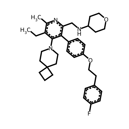 CCc1c(C)nc(CNC2CCOCC2)c(-c2ccc(OCCc3ccc(F)cc3)cc2)c1N1CCC2(CCC2)CC1